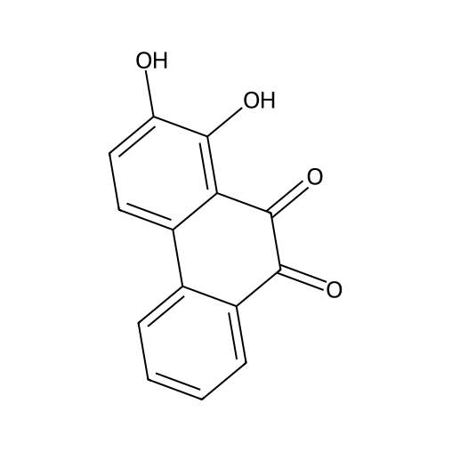 O=C1C(=O)c2c(ccc(O)c2O)-c2ccccc21